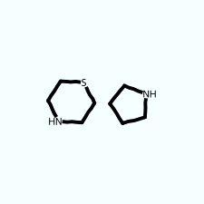 C1CCNC1.C1CSCCN1